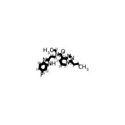 CCCc1nnc2c(C(=O)N(CC)CCc3nc4ccc(F)cc4[nH]3)cccn12